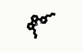 C=CCCc1ccnc(-c2cccc3c2oc2c(CCC=C)cccc23)c1